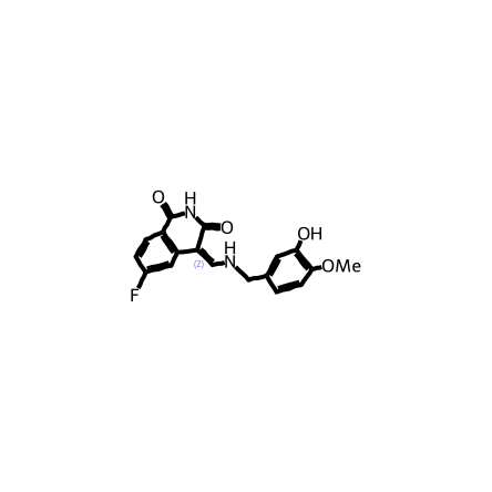 COc1ccc(CN/C=C2\C(=O)NC(=O)c3ccc(F)cc32)cc1O